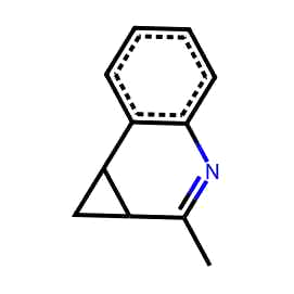 CC1=Nc2ccccc2C2CC12